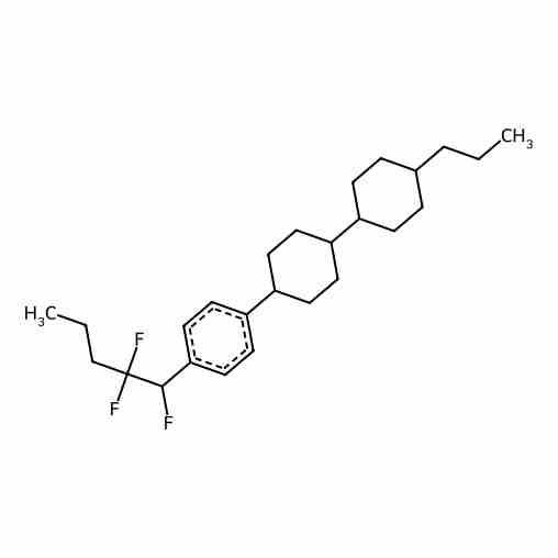 CCCC1CCC(C2CCC(c3ccc(C(F)C(F)(F)CCC)cc3)CC2)CC1